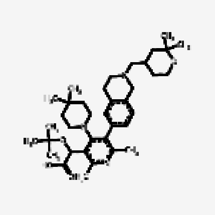 Cc1nc(C)c(C(OC(C)(C)C)C(=O)O)c(N2CCC(C)(C)CC2)c1-c1ccc2c(c1)CCN(CC1CCOC(C)(C)C1)C2